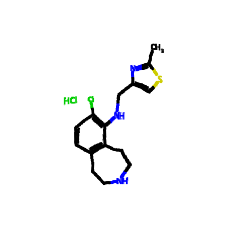 Cc1nc(CNc2c(Cl)ccc3c2CCNCC3)cs1.Cl